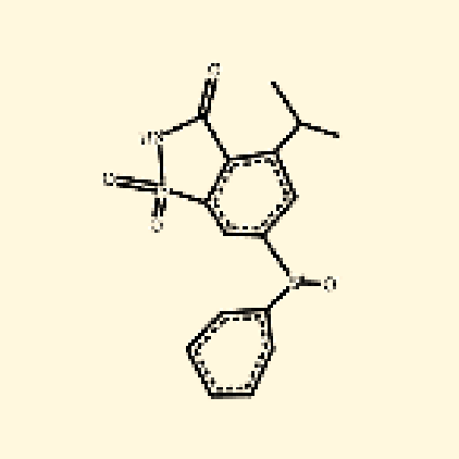 CC(C)c1cc([S+]([O-])c2ccccc2)cc2c1C(=O)NS2(=O)=O